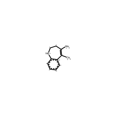 CC1=C(N)CCNc2ccccc21